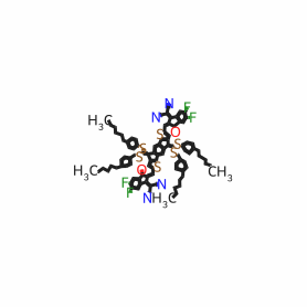 CCCCCCc1ccc(CS/C(Sc2ccc(CCCCCC)cc2)=C2\c3cc4c(cc3-c3sc(/C=C5\C(=O)c6cc(F)c(F)cc6C5=C(C#N)C#N)cc32)/C(=C(/SCc2ccc(CCCCCC)cc2)Sc2ccc(CCCCCC)cc2)c2cc(/C=C3\C(=O)c5cc(F)c(F)cc5C3=C(C#N)C#N)sc2-4)cc1